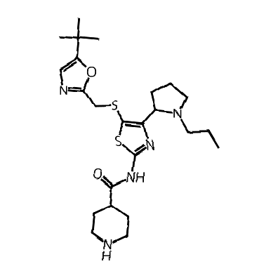 CCCN1CCCC1c1nc(NC(=O)C2CCNCC2)sc1SCc1ncc(C(C)(C)C)o1